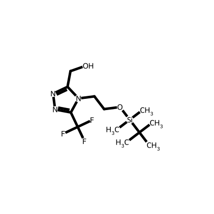 CC(C)(C)[Si](C)(C)OCCn1c(CO)nnc1C(F)(F)F